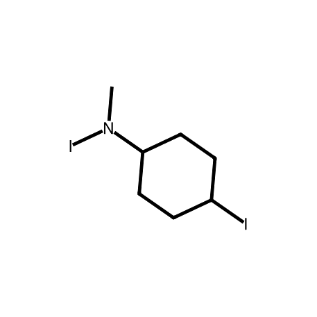 CN(I)C1CCC(I)CC1